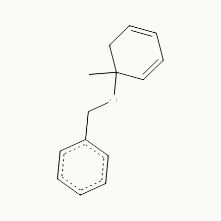 CC1(OCc2ccccc2)C=CC=CC1